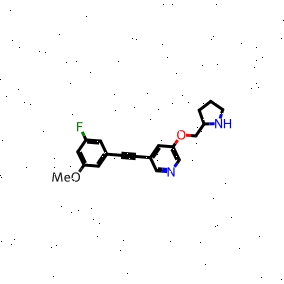 COc1cc(F)cc(C#Cc2cncc(OCC3CCCN3)c2)c1